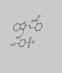 CC[n+]1c(C=Cc2ccccc2[N+](=O)[O-])sc2ccccc21.Cc1ccc(S(=O)(=O)[O-])cc1